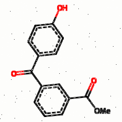 COC(=O)c1cccc(C(=O)c2ccc(O)cc2)c1